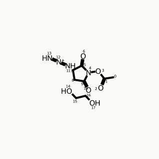 CC(=O)ON1C(=O)CCC1=O.N=[N+]=N.OCCO